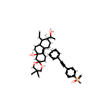 C=S(C)(=O)c1ccc(C#Cc2ccc([C@H]3C[C@](C)(C(C)O)C(CC)C4CCC5(O)CC6(CCC5=C43)OCC(C)(C)CO6)cc2)cc1